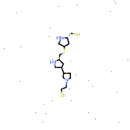 SCCN1CCC(C2CN[C@@H](CSC3CN[C@H](CS)C3)C2)C1